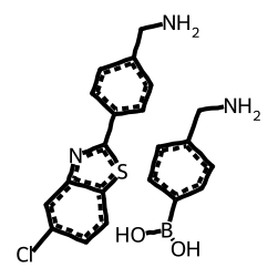 NCc1ccc(-c2nc3cc(Cl)ccc3s2)cc1.NCc1ccc(B(O)O)cc1